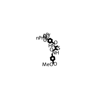 CCCN(CCC)S(=O)(=O)c1ccc(C(=O)Nc2cscc2C(=O)NCc2ccc(C(=O)OC)cc2)cc1